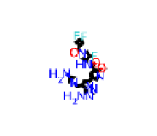 COc1ncc(-c2cc(CN3CC(N)C3)c3c(N)ncnn23)cc1C(=O)N[C@@H]1CN(C(=O)C2CC(F)(F)C2)C[C@@H]1F